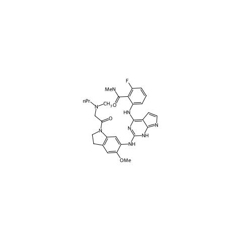 CCCN(C)CC(=O)N1CCc2cc(OC)c(Nc3nc(Nc4cccc(F)c4C(=O)NC)c4ccnc-4[nH]3)cc21